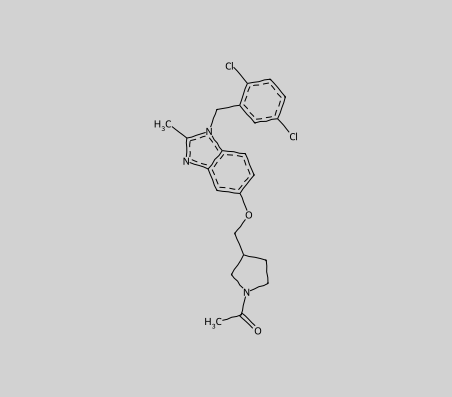 CC(=O)N1CCC(COc2ccc3c(c2)nc(C)n3Cc2cc(Cl)ccc2Cl)C1